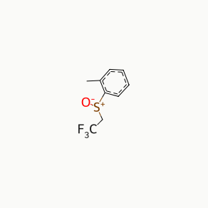 Cc1ccccc1[S+]([O-])CC(F)(F)F